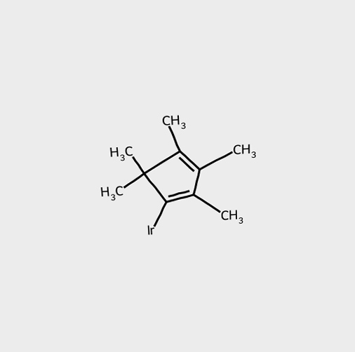 CC1=C(C)C(C)(C)[C]([Ir])=C1C